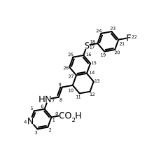 O=C(O)c1ccncc1N/C=C/C1CCCc2cc(Sc3ccc(F)cc3)ccc21